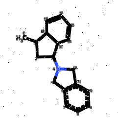 CC1CC(N2Cc3ccccc3C2)C2C=CC=CC12